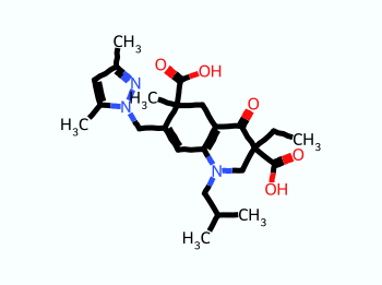 CCC1(C(=O)O)CN(CC(C)C)C2=C(CC(C)(C(=O)O)C(Cn3nc(C)cc3C)=C2)C1=O